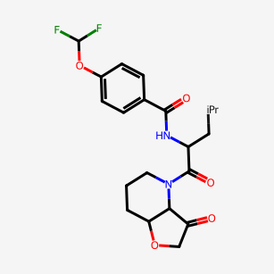 CC(C)CC(NC(=O)c1ccc(OC(F)F)cc1)C(=O)N1CCCC2OCC(=O)C21